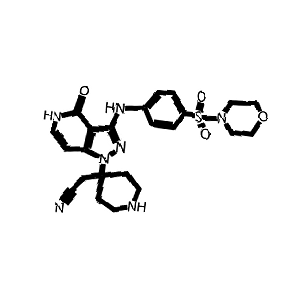 N#CCC1(n2nc(Nc3ccc(S(=O)(=O)N4CCOCC4)cc3)c3c(=O)[nH]ccc32)CCNCC1